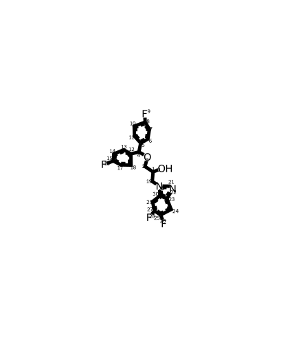 OC(COC(c1ccc(F)cc1)c1ccc(F)cc1)Cn1cnc2cc(F)c(F)cc21